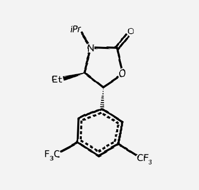 CC[C@@H]1[C@@H](c2cc(C(F)(F)F)cc(C(F)(F)F)c2)OC(=O)N1C(C)C